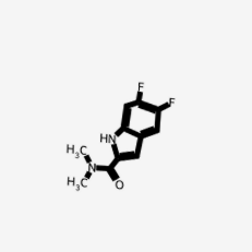 CN(C)C(=O)c1cc2cc(F)c(F)cc2[nH]1